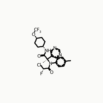 Cc1ccc(N(C(=O)[C@H](F)Cl)[C@@](C)(C(=O)N[C@H]2CC[C@H](OC(F)(F)F)CC2)c2cncnc2)cc1